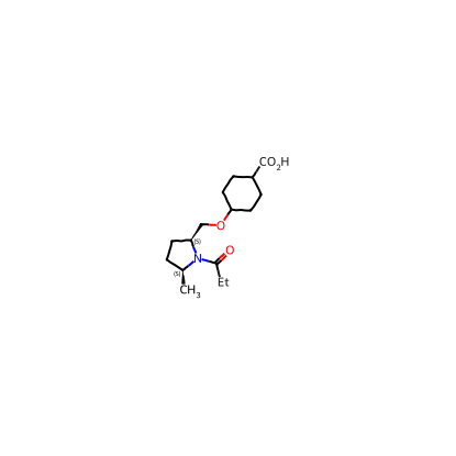 CCC(=O)N1[C@H](COC2CCC(C(=O)O)CC2)CC[C@@H]1C